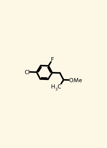 CO[C](C)Cc1ccc(Cl)cc1F